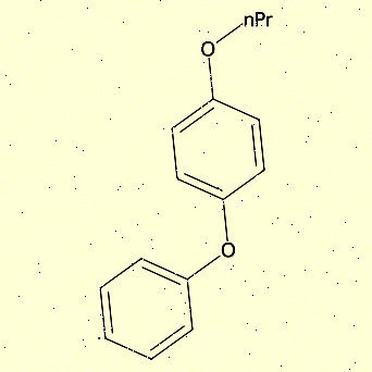 CCCOc1ccc(Oc2cc[c]cc2)cc1